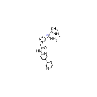 CN(N)/C=C(\N)c1cnn(CC(=O)Nc2ccc(-c3cnccn3)cn2)c1